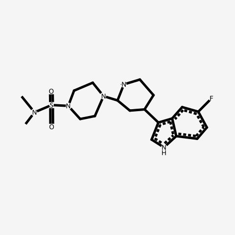 CN(C)S(=O)(=O)N1CCN(C2CC(c3c[nH]c4ccc(F)cc34)CC[N]2)CC1